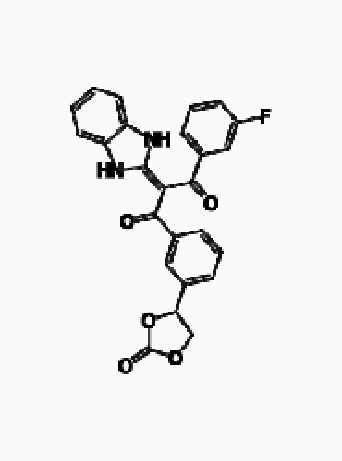 O=C1OCC(c2cccc(C(=O)C(C(=O)c3cccc(F)c3)=C3Nc4ccccc4N3)c2)O1